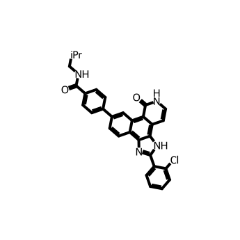 CC(C)CNC(=O)c1ccc(-c2ccc3c(c2)c2c(=O)[nH]ccc2c2[nH]c(-c4ccccc4Cl)nc32)cc1